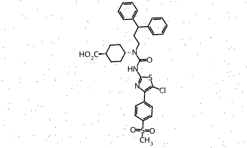 CS(=O)(=O)c1ccc(-c2nc(NC(=O)N(CCC(c3ccccc3)c3ccccc3)[C@H]3CC[C@H](C(=O)O)CC3)sc2Cl)cc1